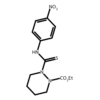 CCOC(=O)N1CCCCN1C(=S)Nc1ccc([N+](=O)[O-])cc1